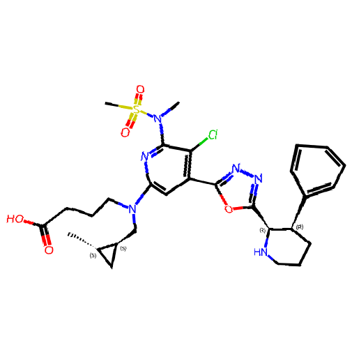 C[C@H]1C[C@@H]1CN(CCCC(=O)O)c1cc(-c2nnc([C@@H]3NCCC[C@@H]3c3ccccc3)o2)c(Cl)c(N(C)S(C)(=O)=O)n1